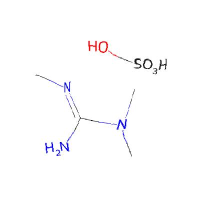 C/N=C(\N)N(C)C.O=S(=O)(O)O